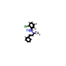 CC(/C=C/c1ccccc1)Nc1ccccc1Br